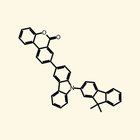 CC1(C)c2ccccc2-c2ccc(-n3c4ccccc4c4cc(-c5ccc6c(c5)c(=O)oc5ccccc56)ccc43)cc21